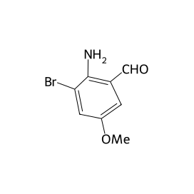 COc1cc(Br)c(N)c(C=O)c1